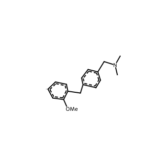 COc1c[c]ccc1Cc1ccc(CN(C)C)cc1